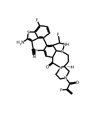 C=C(F)C(=O)N1CCN2C(=O)C3C=C(F)C(c4ccc(F)c5sc(N)c(C#N)c45)=C4C(F)NN(CC[C@H]2C1)C43